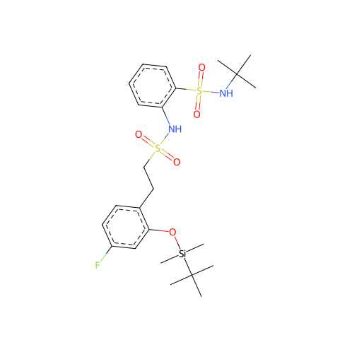 CC(C)(C)NS(=O)(=O)c1ccccc1NS(=O)(=O)CCc1ccc(F)cc1O[Si](C)(C)C(C)(C)C